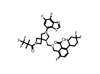 CC(C)(C(=O)N1CC2(C1)CN(c1cc(F)c(F)c3ncsc13)C[C@H]2COCc1c(F)ccc(C2CCC(F)(F)CC2)c1C(=O)O)C(F)(F)F